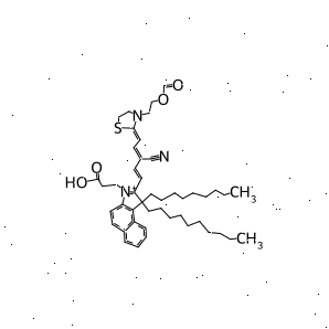 CCCCCCCCCCC1(CCCCCCCCC)C(/C=C/C(C#N)=C/C=C2\SCCN2CCOC=O)=[N+](CCC(=O)O)c2ccc3ccccc3c21